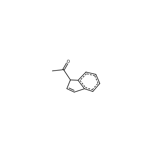 CC(=O)[C]1C=Cc2ccccc21